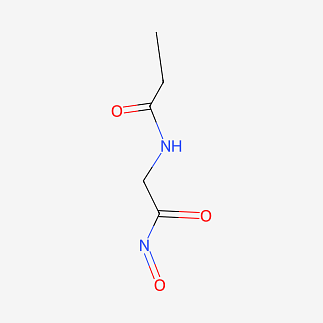 CCC(=O)NCC(=O)N=O